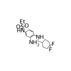 CCS(=O)(=O)Nc1ccc(NCC2CCC(F)(F)CC2)c(N)c1